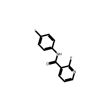 O=C(Nc1ccc(I)cc1)c1cccnc1F